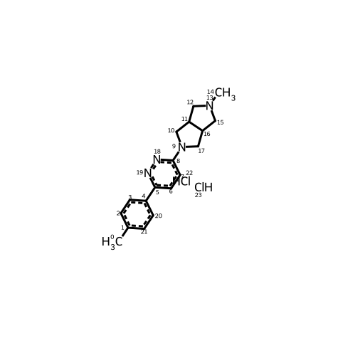 Cc1ccc(-c2ccc(N3CC4CN(C)CC4C3)nn2)cc1.Cl.Cl